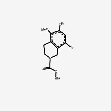 CCCc1cc(Br)c2c(c1OC)CCN(C(=O)OC(C)(C)C)C2